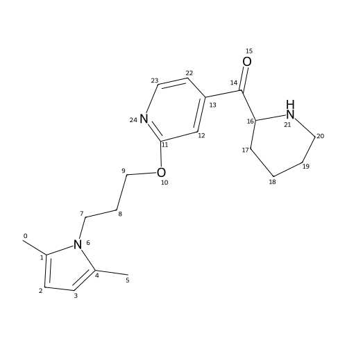 Cc1ccc(C)n1CCCOc1cc(C(=O)C2CCCCN2)ccn1